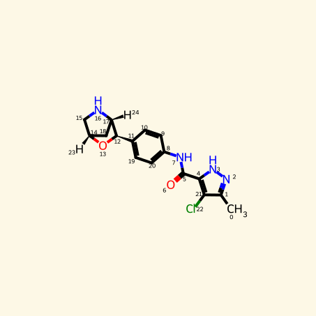 Cc1n[nH]c(C(=O)Nc2ccc([C@H]3O[C@@H]4CN[C@H]3C4)cc2)c1Cl